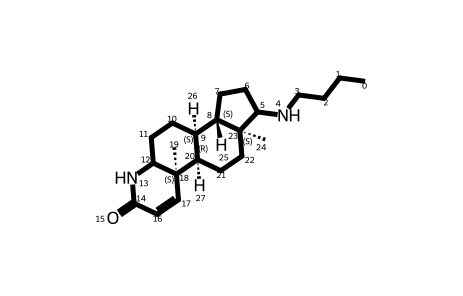 CCCCNC1CC[C@H]2[C@@H]3CCC4NC(=O)C=C[C@]4(C)[C@@H]3CC[C@]12C